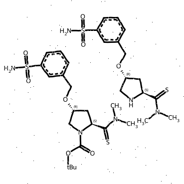 CN(C)C(=S)[C@@H]1C[C@@H](OCc2cccc(S(N)(=O)=O)c2)CN1.CN(C)C(=S)[C@@H]1C[C@@H](OCc2cccc(S(N)(=O)=O)c2)CN1C(=O)OC(C)(C)C